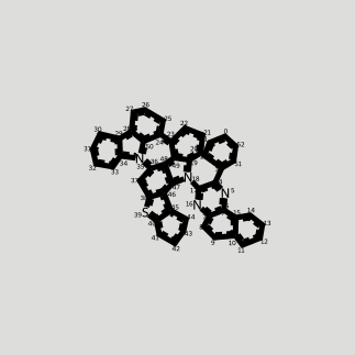 c1ccc(-c2nc3c(ccc4ccccc43)nc2-n2c3cccc4c5cccc6c7ccccc7n(c7cc8sc9ccccc9c8c2c7c43)c56)cc1